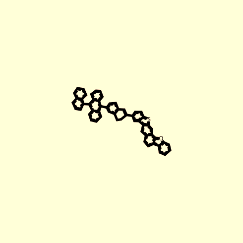 C1=C(c2ccc3sc4cc5c(ccc6c7ccccc7oc56)cc4c3c2)CCc2cc(-c3c4ccccc4c(-c4cccc5ccccc45)c4ccccc34)ccc21